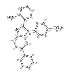 Nc1ncccc1-c1nc2ccc(-c3ccccc3)nc2n1-c1ccc(C(=O)O)nc1